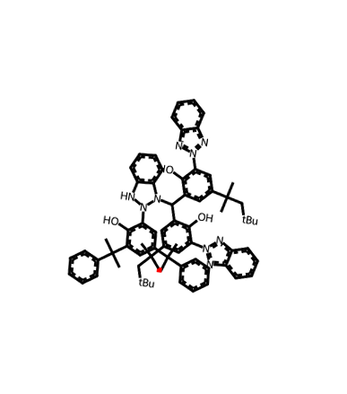 CC(C)(C)CC(C)(C)c1cc(C(c2cc(C(C)(C)CC(C)(C)C)cc(-n3nc4ccccc4n3)c2O)N2c3ccccc3NN2c2cc(C(C)(C)c3ccccc3)cc(C(C)(C)c3ccccc3)c2O)c(O)c(-n2nc3ccccc3n2)c1